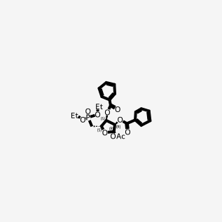 CCOP(=O)(C[C@H]1O[C@H](OC(C)=O)[C@H](OC(=O)c2ccccc2)[C@@H]1OC(=O)c1ccccc1)OCC